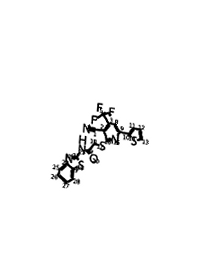 N#Cc1c(C(F)(F)F)cc(-c2cccs2)nc1SCC(=O)Nc1nc2ccccc2s1